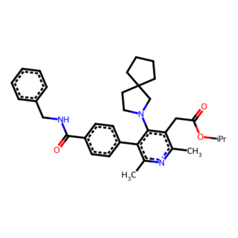 Cc1nc(C)c(-c2ccc(C(=O)NCc3ccccc3)cc2)c(N2CCC3(CCCC3)C2)c1CC(=O)OC(C)C